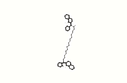 CC(CCCCCCCCCCCCCCCCc1c2ccccc2nc2c1ccc1ccccc12)c1c2ccccc2nc2c1ccc1ccccc12